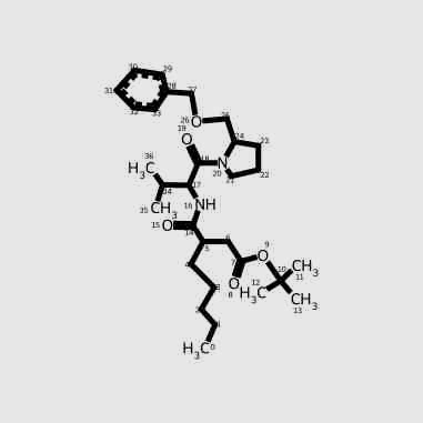 CCCCCC(CC(=O)OC(C)(C)C)C(=O)NC(C(=O)N1CCCC1COCc1ccccc1)C(C)C